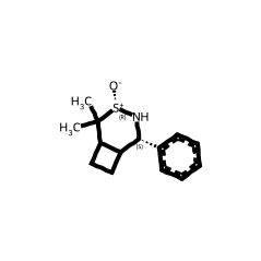 CC1(C)C2CCC2[C@@H](c2ccccc2)N[S@@+]1[O-]